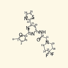 Cc1ccc(-c2nc(NC(=O)CN3CCC(F)(F)CC3)cc(-c3nccs3)n2)o1